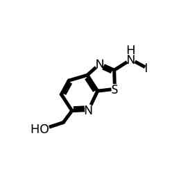 OCc1ccc2nc(NI)sc2n1